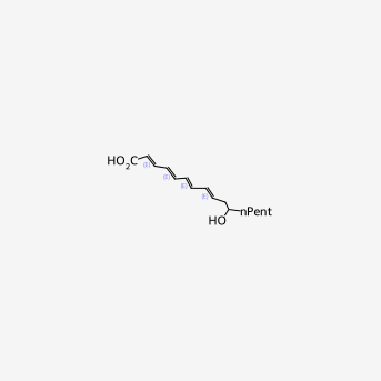 CCCCCC(O)C/C=C/C=C/C=C/C=C/C(=O)O